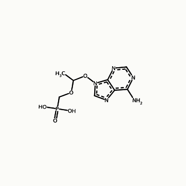 CC(OCP(=O)(O)O)On1cnc2c(N)ncnc21